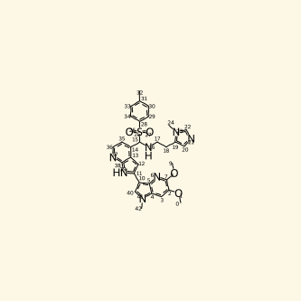 COc1cc2c(nc1OC)c(-c1cc3c(C(NCCc4cncn4C)S(=O)(=O)c4ccc(C)cc4)ccnc3[nH]1)cn2C